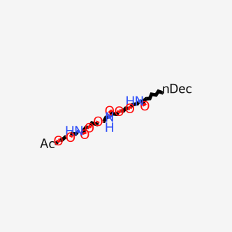 CCCCCCCCCCCCCCCCC(=O)NCCOCCOCC(=O)NCCOCCOCC(=O)NCCOCCOCC(C)=O